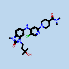 CN(C)C(=O)C1CCN(c2cc(Nc3ccc4c(c3)n(CCC(C)(C)O)c(=O)n4C)c(Cl)cn2)CC1